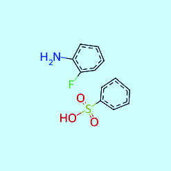 Nc1ccccc1F.O=S(=O)(O)c1ccccc1